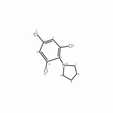 Clc1cc(Cl)c(N2CCCC2)c(Cl)c1